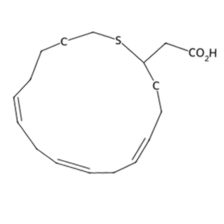 O=C(O)CC1CCC=CCC=CCC=CCCCCS1